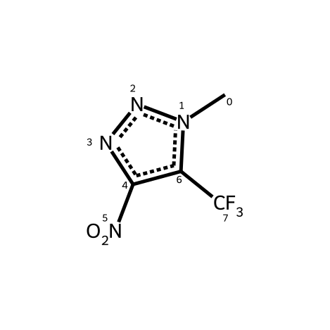 Cn1nnc([N+](=O)[O-])c1C(F)(F)F